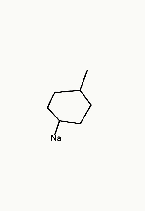 CC1CC[CH]([Na])CC1